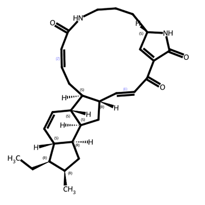 CC[C@H]1[C@@H]2C=C[C@H]3[C@@H](C[C@H]4/C=C/C(=O)C5=C[C@H](CCCNC(=O)/C=C\C[C@H]34)NC5=O)[C@H]2C[C@H]1C